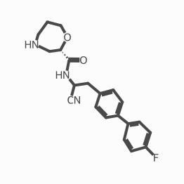 N#CC(Cc1ccc(-c2ccc(F)cc2)cc1)NC(=O)[C@@H]1CNCCCO1